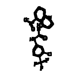 O=C(Nc1ccc(C(F)(F)F)c(Cl)c1)Nc1ccnc2cccc([N+](=O)[O-])c12